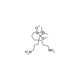 COC1(OC)C(CCCN)(CCCN)CCC[Si]1(OC)OC